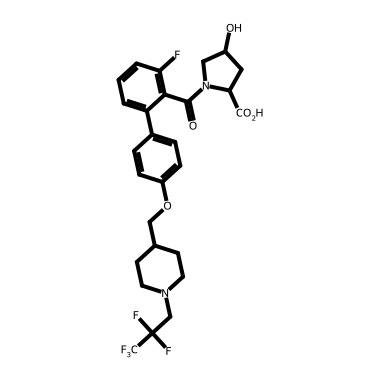 O=C(O)C1CC(O)CN1C(=O)c1c(F)cccc1-c1ccc(OCC2CCN(CC(F)(F)C(F)(F)F)CC2)cc1